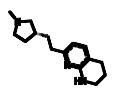 CN1CC[C@@H](CCc2ccc3c(n2)NCCC3)C1